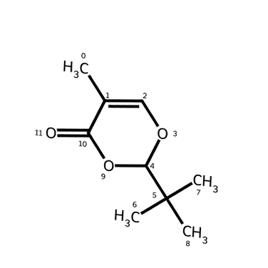 CC1=COC(C(C)(C)C)OC1=O